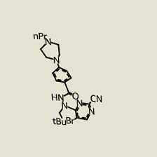 CCCN1CCN(c2ccc(C(=O)NN(CC(C)(C)C)c3nc(C#N)ncc3Br)cc2)CC1